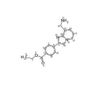 CCOC(=O)c1ccc(-c2cn3cccc(CN)c3n2)cc1